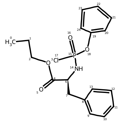 CCCOC(=O)[C@H](Cc1ccccc1)NP(=O)(Cl)Oc1ccccc1